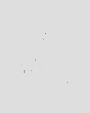 CCCCCC=CCCCC(OC(=O)CCCCCN(C)C)C(CCCCCCCC)CCCCCCCCCC